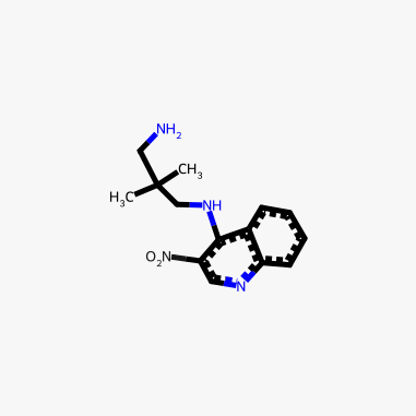 CC(C)(CN)CNc1c([N+](=O)[O-])cnc2ccccc12